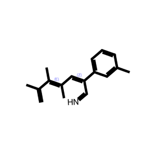 C=C(C)/C(C)=C(C)/C=C(\C=N)c1cccc(C)c1